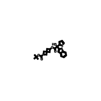 CC(C)(C)OC(=O)N1CC2(CC(OC(=O)[C@](O)(c3cccs3)c3cc4ccccc4s3)C2)C1